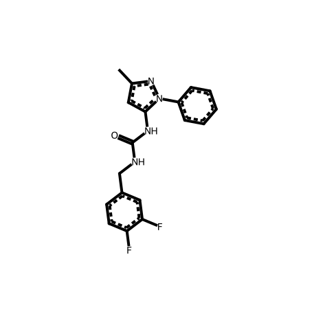 Cc1cc(NC(=O)NCc2ccc(F)c(F)c2)n(-c2ccccc2)n1